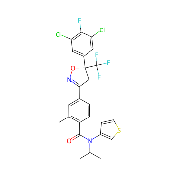 Cc1cc(C2=NOC(c3cc(Cl)c(F)c(Cl)c3)(C(F)(F)F)C2)ccc1C(=O)N(c1ccsc1)C(C)C